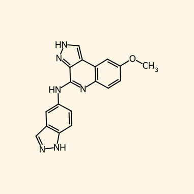 COc1ccc2nc(Nc3ccc4[nH]ncc4c3)c3n[nH]cc3c2c1